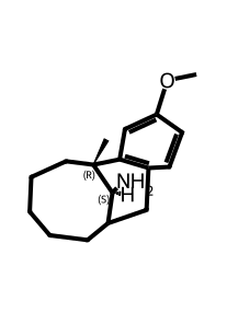 COc1ccc2c(c1)[C@@]1(C)CCCCCC(C2)[C@@H]1N